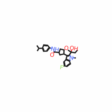 CCC(C)(O)c1c(C2CC(C(=O)Nc3ccc(C(C)C)cc3)CC2=O)c2cc(F)ccc2n1C